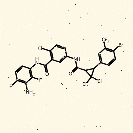 Nc1c(F)ccc(NC(=O)c2cc(NC(=O)C3C(c4ccc(Br)c(C(F)(F)F)c4)C3(Cl)Cl)ccc2Cl)c1F